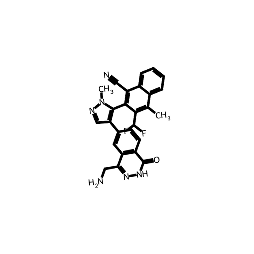 Cc1c(C(F)F)c(-c2c(-c3ccc4c(=O)[nH]nc(CN)c4c3)cnn2C)c(C#N)c2ccccc12